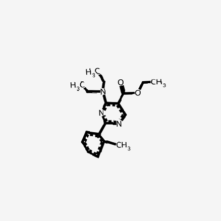 CCOC(=O)c1cnc(-c2ccccc2C)nc1N(CC)CC